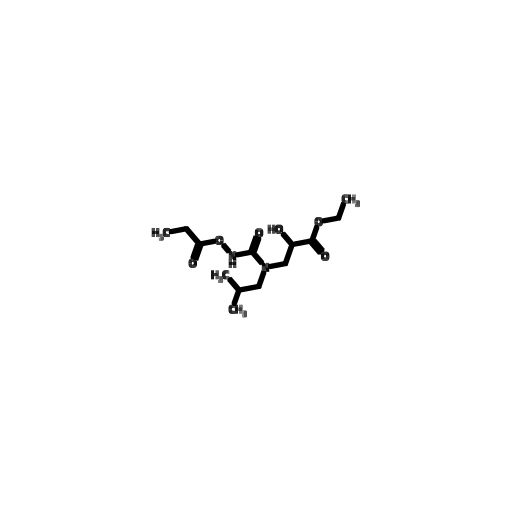 CCOC(=O)C(O)CN(CC(C)C)C(=O)NOC(=O)CC